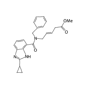 COC(=O)C/C=C/CN(Cc1ccccc1)C(=O)c1cccc2nc(C3CC3)[nH]c12